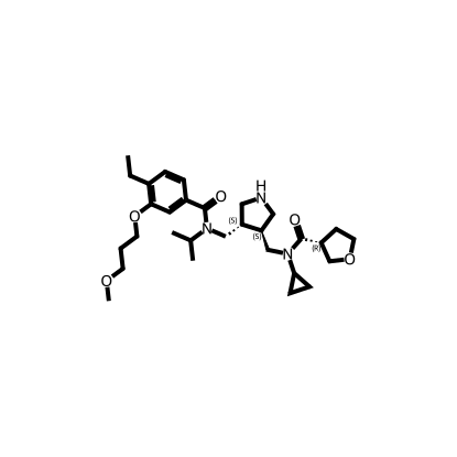 CCc1ccc(C(=O)N(C[C@@H]2CNC[C@H]2CN(C(=O)[C@@H]2CCOC2)C2CC2)C(C)C)cc1OCCCOC